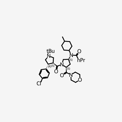 CCCC(=O)N(C1CCC(C)CC1)[C@H]1C[C@@H](C(=O)N2CCOCC2)N(C(=O)[C@@H]2CN(C(C)(C)C)C[C@H]2c2ccc(Cl)cc2)C1